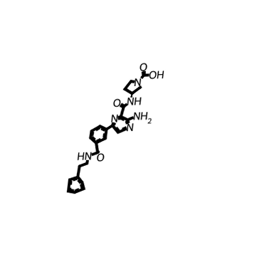 Nc1ncc(-c2cccc(C(=O)NCCc3ccccc3)c2)nc1C(=O)N[C@H]1CCN(C(=O)O)C1